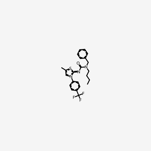 CCCCN(Cc1ccccc1)C(=O)/N=c1\sc(C)cn1-c1ccc(C(F)(F)F)cc1